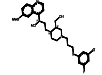 COc1ccc2nccc([C@H](O)CC[C@@H]3CCN(CCCSc4cc(F)cc(Cl)c4)C[C@@H]3CO)c2c1